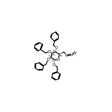 [N-]=[N+]=NC[C@H]1O[C@H](OCc2ccccc2)[C@@H](OCc2ccccc2)[C@@H](OCc2ccccc2)[C@@H]1OCc1ccccc1